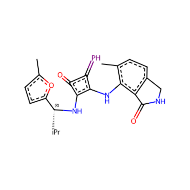 Cc1ccc([C@H](Nc2c(Nc3c(C)ccc4c3C(=O)NC4)c(=P)c2=O)C(C)C)o1